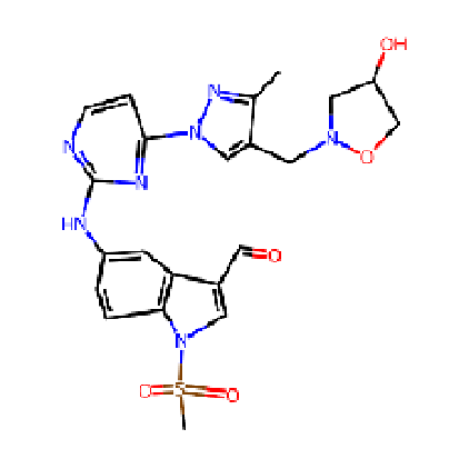 Cc1nn(-c2ccnc(Nc3ccc4c(c3)c(C=O)cn4S(C)(=O)=O)n2)cc1CN1CC(O)CO1